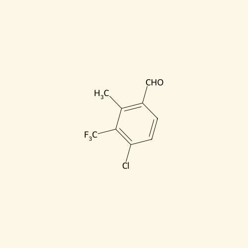 Cc1c(C=O)ccc(Cl)c1C(F)(F)F